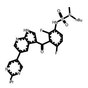 CCCCN(C)S(=O)(=O)Nc1ccc(F)c(C(=O)c2c[nH]c3ncc(-c4cnc(C(C)C)nc4)cc23)c1F